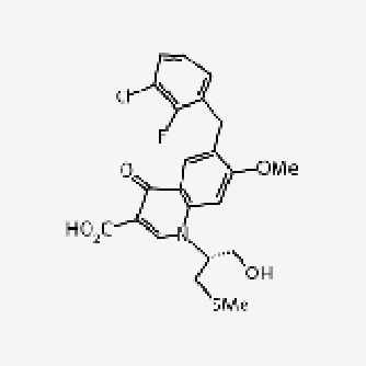 COc1cc2c(cc1Cc1cccc(Cl)c1F)c(=O)c(C(=O)O)cn2[C@H](CO)CSC